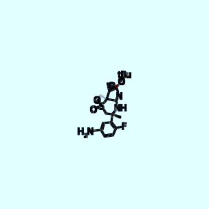 CC(C)(C)OC(=O)/N=C1/N[C@](C)(c2cc(N)ccc2F)CS(=O)(=O)[C@@]1(C)C1CC1